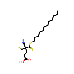 CCCCCCCCCCCCSC(=S)C(C#N)(CS)CCC(=O)O